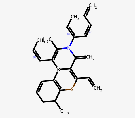 C=C/C=C\C(=C/C)N1C(=C)C2=C(C=C)SC3=C(C=CCC3C)B2C(/C=C\C)=C1C